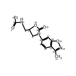 CCC(=O)NCC1CN(c2ccc3c(C)noc3c2)C(=O)O1